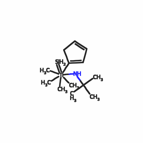 CC(C)(C)[NH][Ti]([CH3])([CH3])([CH3])([CH3])(=[SiH2])[C]1=CC=CC1